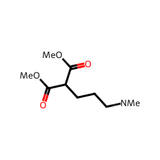 CNCCCC(C(=O)OC)C(=O)OC